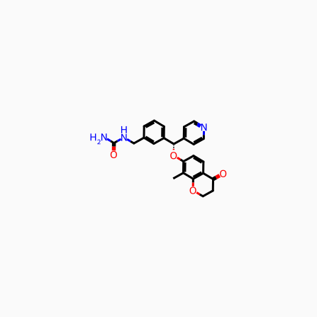 Cc1c(O[C@@H](c2ccncc2)c2cccc(CNC(N)=O)c2)ccc2c1OCCC2=O